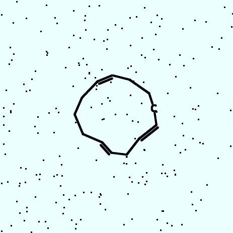 [CH]1/C=C/CCC/C=C\CCC/C=C/1